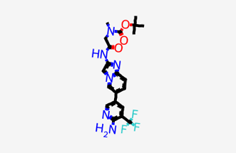 CN(CC(=O)Nc1cn2cc(-c3cnc(N)c(C(F)(F)F)c3)ccc2n1)C(=O)OC(C)(C)C